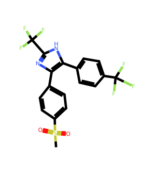 CS(=O)(=O)c1ccc(-c2nc(C(F)(F)F)[nH]c2-c2ccc(C(F)(F)F)cc2)cc1